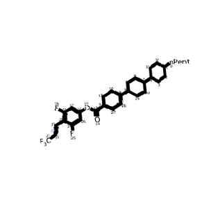 CCCCCC1CCC(C2CCC(C3CCC(C(=O)Oc4cc(F)c(/C=C/C(F)(F)F)c(F)c4)CC3)CC2)CC1